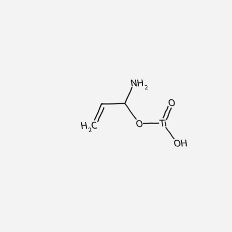 C=CC(N)[O][Ti](=[O])[OH]